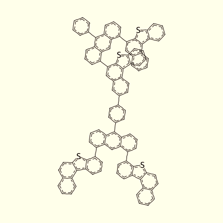 c1ccc(-c2c3cccc(-c4cc5ccccc5c5c4sc4ccccc45)c3cc3c(-c4cc5cc(-c6ccc(-c7c8cccc(-c9cccc%10c9sc9ccc%11ccccc%11c9%10)c8cc8c(-c9cccc%10c9sc9ccc%11ccccc%11c9%10)cccc78)cc6)ccc5c5c4sc4ccccc45)cccc23)cc1